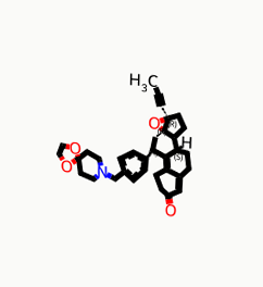 CC#C[C@]12CCC3[C@@H]4CCC5=CC(=O)CCC5=C4[C@@H](c4ccc(CN5CCC6(CC5)OCCO6)cc4)C[C@@]31O2